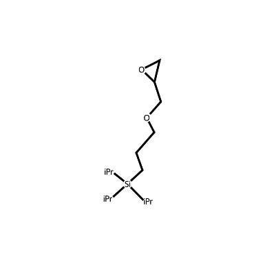 CC(C)[Si](CCCOCC1CO1)(C(C)C)C(C)C